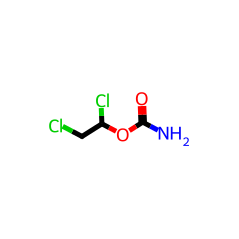 NC(=O)OC(Cl)CCl